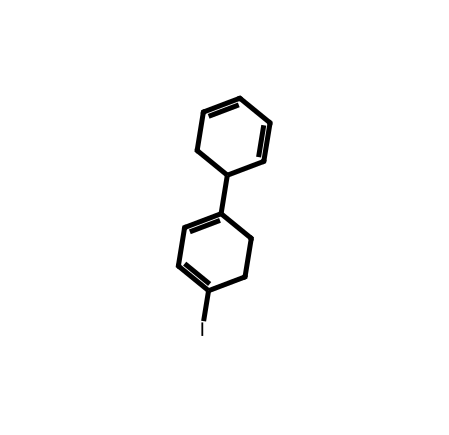 IC1=CC=C(C2C=CC=CC2)CC1